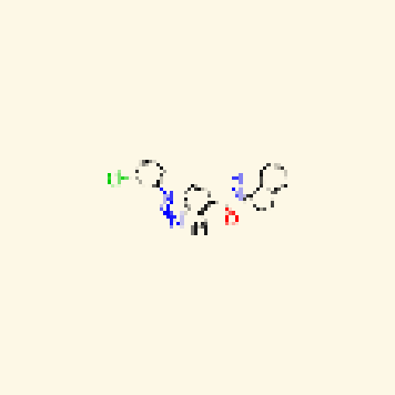 CC(C)c1c(C(=O)N[C@H]2CCc3ccccc32)ccc2c1nnn2-c1cccc(Cl)c1